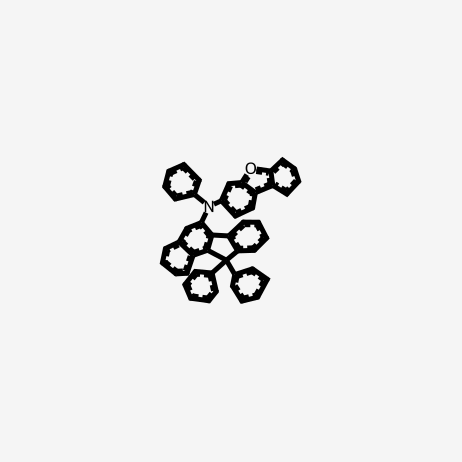 c1ccc(N(c2ccc3c(c2)oc2ccccc23)c2cc3ccccc3c3c2-c2ccccc2C3(c2ccccc2)c2ccccc2)cc1